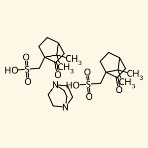 C1CN2CCN1CC2.CC1(C)C2CCC1(CS(=O)(=O)O)C(=O)C2.CC1(C)C2CCC1(CS(=O)(=O)O)C(=O)C2